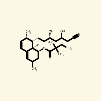 CCC(C)(C)C(=O)O[C@H]1C[C@@H](C)C=C2C=C[C@H](C)[C@H](CC[C@@H](O)C[C@@H](O)CC#N)[C@H]21